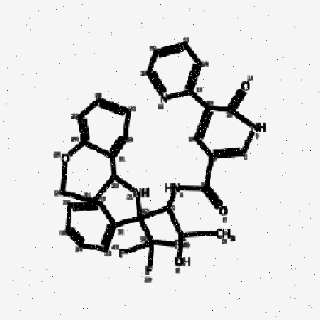 CC(O)C(NC(=O)c1c[nH]c(=O)c(-c2ccccn2)c1)C(NC1CCOc2ccccc21)(c1ccccc1)C(F)(F)F